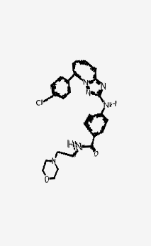 O=C(NCCN1CCOCC1)c1ccc(Nc2nc3cccc(-c4ccc(Cl)cc4)n3n2)cc1